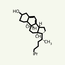 CC(C)CCC[C@@H](C)[C@H]1CC[C@H]2C3=CC=C4CC(O)CC[C@]4(C)[C@H]3CC[C@]12C